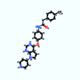 O=C(Cc1ccc(C(F)(F)F)cc1)Nc1ccc(Oc2ncnc3c2ccn3-c2ccncc2)cc1